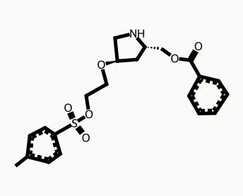 Cc1ccc(S(=O)(=O)OCCO[C@H]2CN[C@H](COC(=O)c3ccccc3)C2)cc1